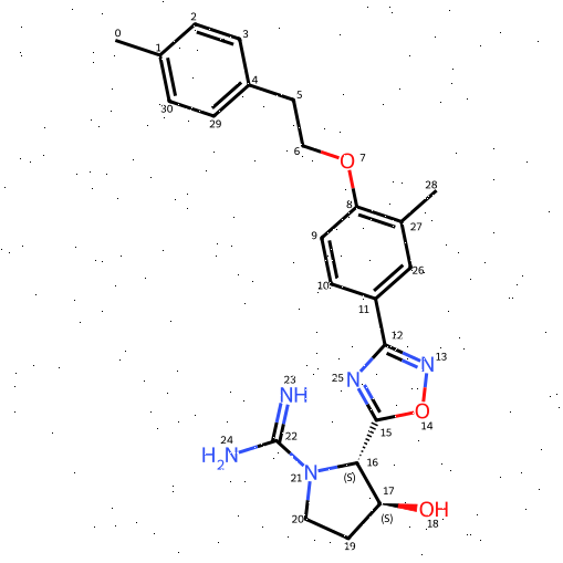 Cc1ccc(CCOc2ccc(-c3noc([C@@H]4[C@@H](O)CCN4C(=N)N)n3)cc2C)cc1